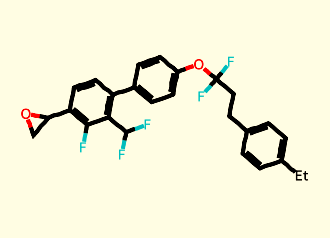 CCc1ccc(CCC(F)(F)Oc2ccc(-c3ccc(C4CO4)c(F)c3C(F)F)cc2)cc1